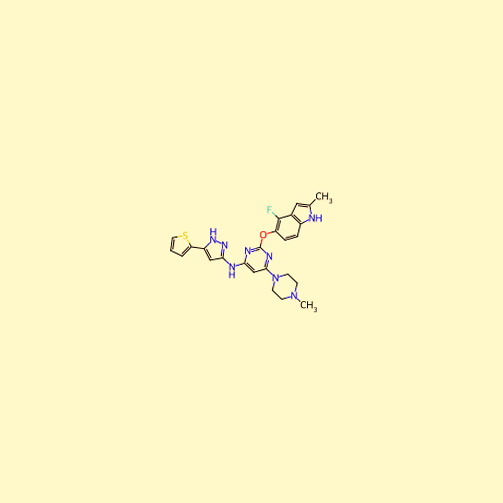 Cc1cc2c(F)c(Oc3nc(Nc4cc(-c5cccs5)[nH]n4)cc(N4CCN(C)CC4)n3)ccc2[nH]1